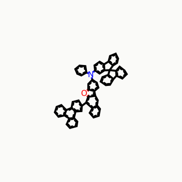 c1ccc(N(c2ccc3c(c2)C2(c4ccccc4-c4ccccc42)c2ccccc2-3)c2ccc3c(c2)oc2c(-c4ccc5c6ccccc6c6ccccc6c5c4)c4ccccc4cc23)cc1